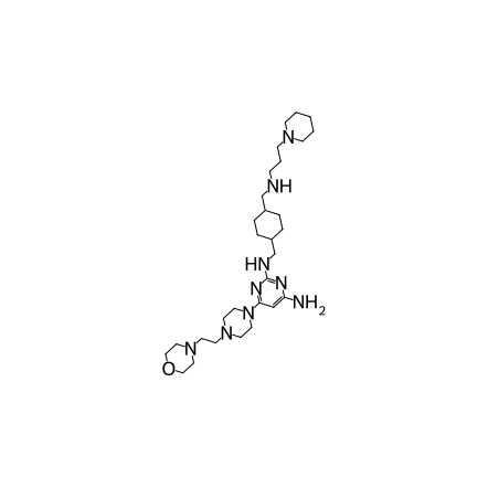 Nc1cc(N2CCN(CCN3CCOCC3)CC2)nc(NCC2CCC(CNCCCN3CCCCC3)CC2)n1